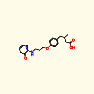 CC(CC(=O)O)Cc1ccc(OCCCNC2=NC=CCC2=O)cc1